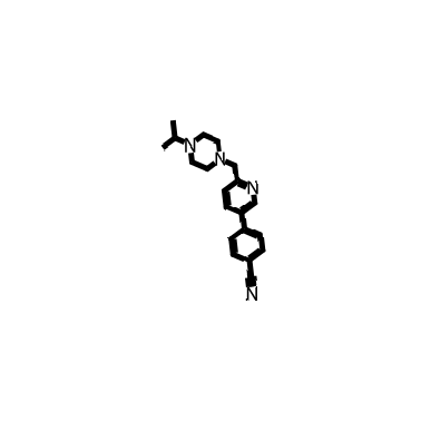 CC(C)N1CCN(Cc2ccc(-c3ccc(C#N)cc3)cn2)CC1